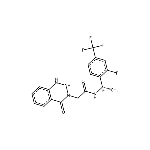 C[C@H](NC(=O)CN1NNc2ccccc2C1=O)c1ccc(C(F)(F)F)cc1F